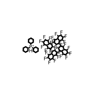 Fc1c(F)c(F)c2c(F)c([B-](c3c(F)c(F)c4c(F)c(F)c(F)c(F)c4c3F)(c3c(F)c(F)c4c(F)c(F)c(F)c(F)c4c3F)c3c(F)c(F)c4c(F)c(F)c(F)c(F)c4c3F)c(F)c(F)c2c1F.c1ccc([PH+](c2ccccc2)c2ccccc2)cc1